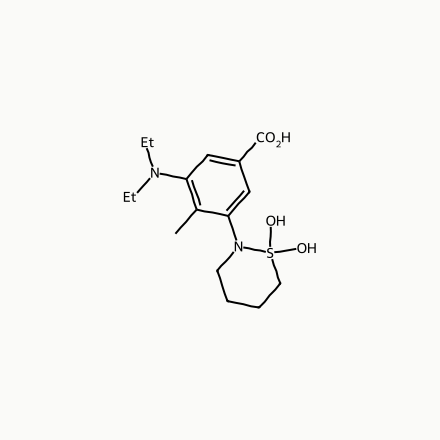 CCN(CC)c1cc(C(=O)O)cc(N2CCCCS2(O)O)c1C